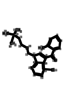 Cc1ccccc1C(=O)c1cn(COCC[Si](C)(C)C)c2ncnc(Cl)c12